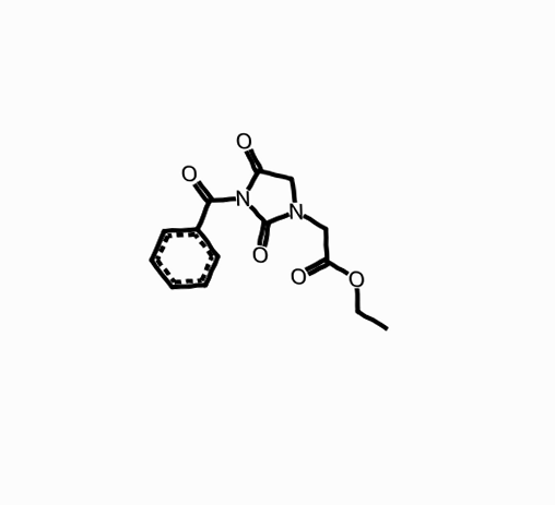 CCOC(=O)CN1CC(=O)N(C(=O)c2ccccc2)C1=O